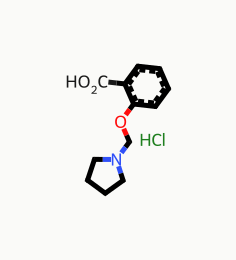 Cl.O=C(O)c1ccccc1OCN1CCCC1